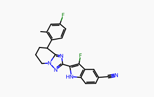 Cc1cc(F)ccc1C1CCCn2nc(-c3[nH]c4ccc(C#N)cc4c3F)nc21